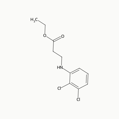 CCOC(=O)CCNc1cccc(Cl)c1Cl